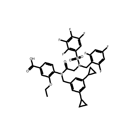 CCOc1cc(C(=O)O)ccc1N(Cc1cc(C2CC2)cc(C2CC2)c1)C(=O)CN(Cc1c(F)cc(F)cc1F)S(=O)(=O)c1cc(F)c(F)c(F)c1F